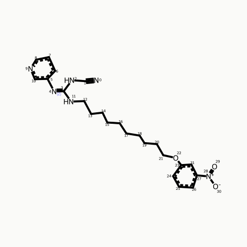 N#CN/C(=N\c1cccnc1)NCCCCCCCCCCOc1cccc([N+](=O)[O-])c1